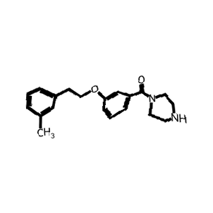 Cc1cccc(CCOc2cccc(C(=O)N3CCNCC3)c2)c1